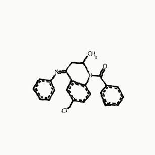 CC1C/C(=N/c2ccccc2)c2cc(Cl)ccc2N1C(=O)c1ccccc1